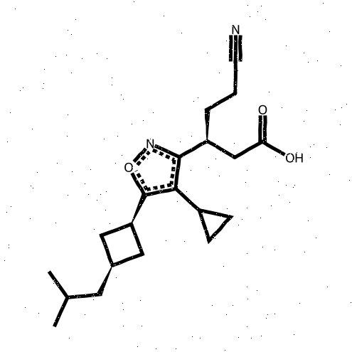 CC(C)C[C@H]1C[C@@H](c2onc([C@@H](CCC#N)CC(=O)O)c2C2CC2)C1